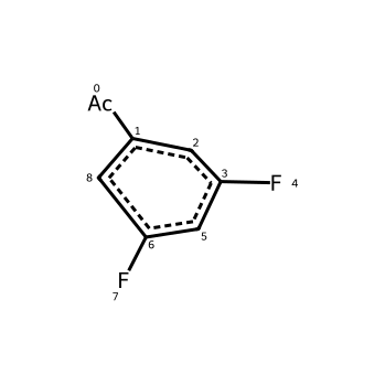 [CH2]C(=O)c1cc(F)cc(F)c1